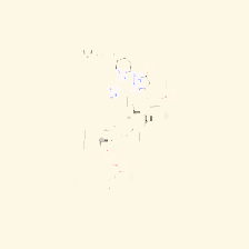 COc1ccc(-n2c(=O)c(Cl)c([C@@]34CC[C@]5(C)[C@H](CC[C@@H]6[C@@]7(C)CC[C@H](OC(=O)CC(C)(C)C(=O)O)C(C)(C)[C@@H]7CC[C@]65C)C3=C(C(C)C)C(=O)C4)n2CCN(C)C)nc1